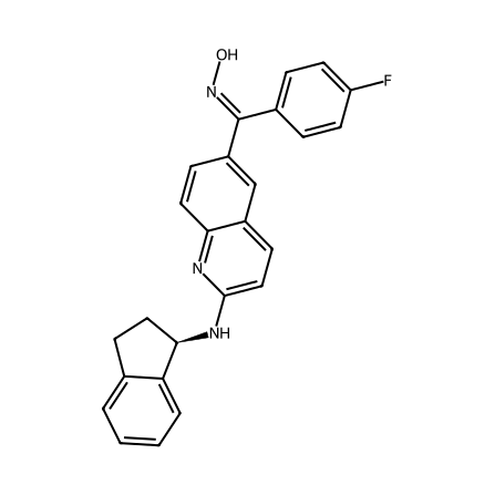 ON=C(c1ccc(F)cc1)c1ccc2nc(N[C@@H]3CCc4ccccc43)ccc2c1